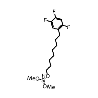 CO[SiH](OC)OCCCCCCCCc1cc(F)c(F)cc1F